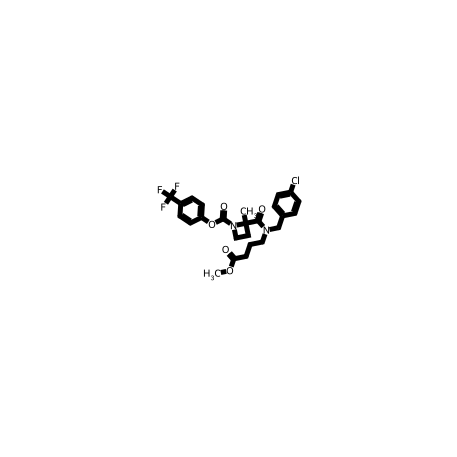 COC(=O)CCCN(Cc1ccc(Cl)cc1)C(=O)C1(C)CCN1C(=O)Oc1ccc(C(F)(F)F)cc1